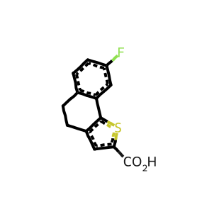 O=C(O)c1cc2c(s1)-c1cc(F)ccc1CC2